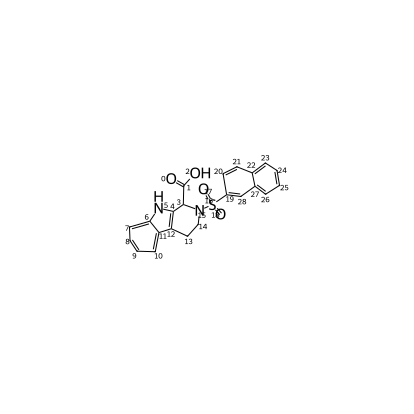 O=C(O)C1c2[nH]c3ccccc3c2CCN1S(=O)(=O)c1ccc2ccccc2c1